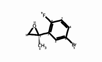 C[C@]1(c2cc(Br)ccc2F)CO1